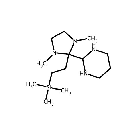 CN1CCN(C)C1(CC[Si](C)(C)C)C1NCCCN1